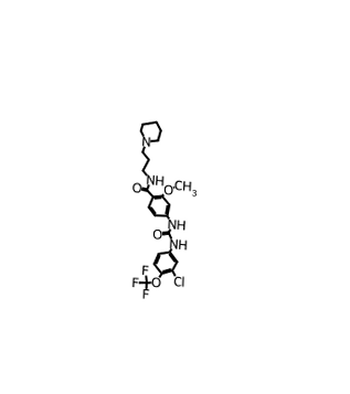 COc1cc(NC(=O)Nc2ccc(OC(F)(F)F)c(Cl)c2)ccc1C(=O)NCCCN1CCCCC1